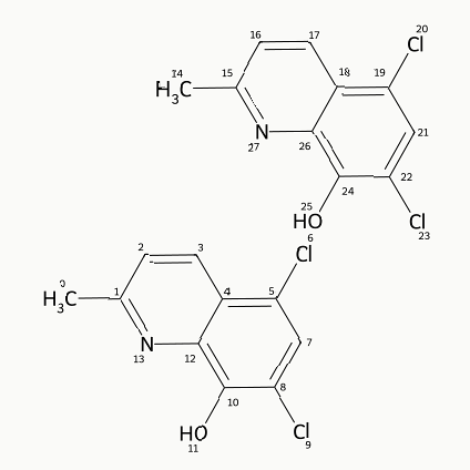 Cc1ccc2c(Cl)cc(Cl)c(O)c2n1.Cc1ccc2c(Cl)cc(Cl)c(O)c2n1